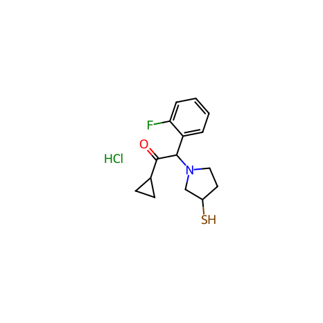 Cl.O=C(C1CC1)C(c1ccccc1F)N1CCC(S)C1